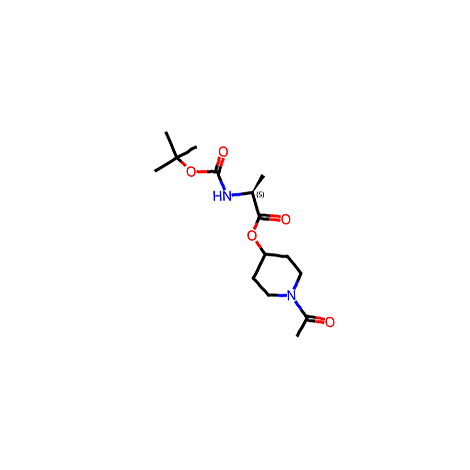 CC(=O)N1CCC(OC(=O)[C@H](C)NC(=O)OC(C)(C)C)CC1